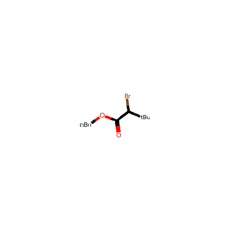 CCCCOC(=O)C(Br)C(C)(C)C